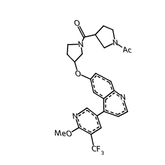 COc1ncc(-c2ccnc3ccc(OC4CCN(C(=O)C5CCN(C(C)=O)C5)C4)cc23)cc1C(F)(F)F